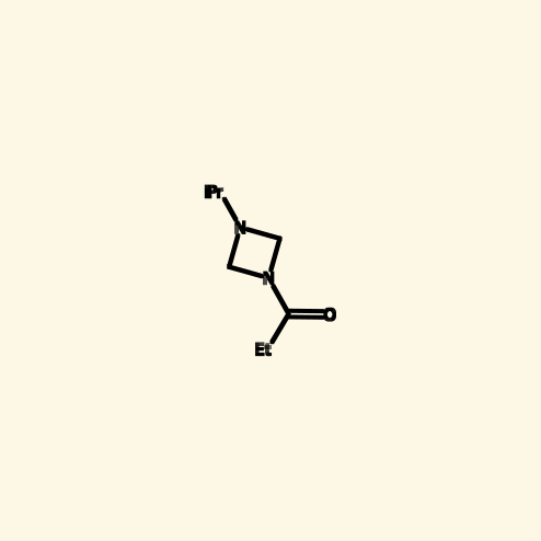 CCC(=O)N1CN(C(C)C)C1